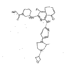 C=CC(=O)N1CCCC(Nc2nc(Nc3ccc(N4CCN(C5COC5)CC4C)cn3)c3c(c2F)CCC=CC3=O)C1